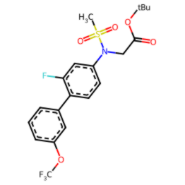 CC(C)(C)OC(=O)CN(c1ccc(-c2cccc(OC(F)(F)F)c2)c(F)c1)S(C)(=O)=O